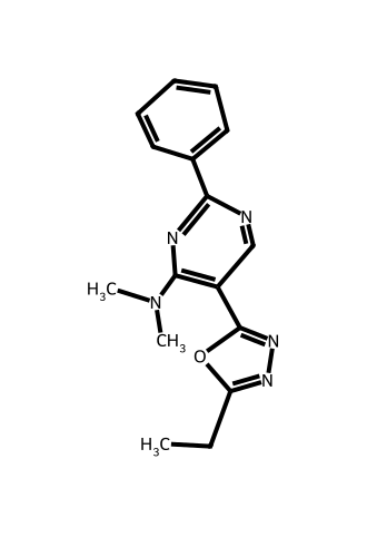 CCc1nnc(-c2cnc(-c3ccccc3)nc2N(C)C)o1